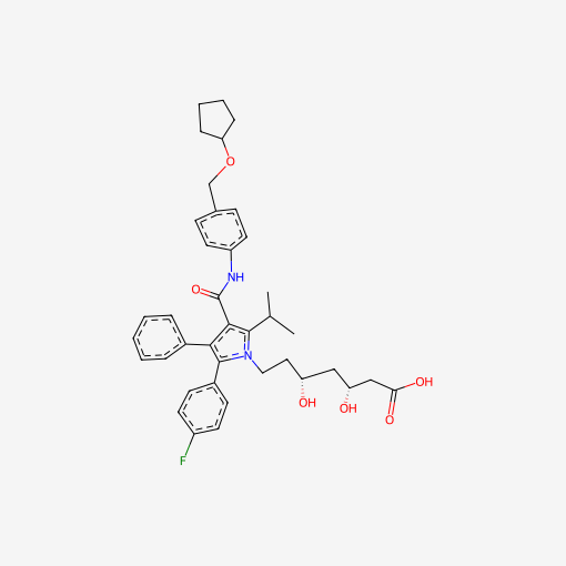 CC(C)c1c(C(=O)Nc2ccc(COC3CCCC3)cc2)c(-c2ccccc2)c(-c2ccc(F)cc2)n1CC[C@@H](O)C[C@@H](O)CC(=O)O